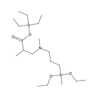 CCO[Si](C)(CCCN(C)CC(C)C(=O)O[Si](CC)(CC)CC)OCC